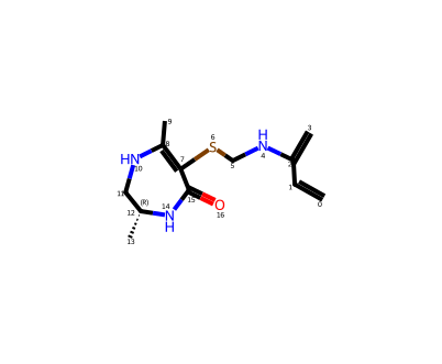 C=CC(=C)NCSC1=C(C)NC[C@@H](C)NC1=O